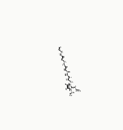 CCCCCCCCCCCCCCCN1C=CN(CC)C1CCC